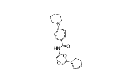 O=C(NC1=COC=C(C2=CC=CCC2)O1)c1ccc(N2CCCCC2)cc1